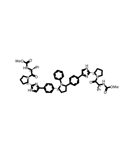 COC(=O)N[C@H](C(=O)N1CCC[C@H]1c1nc(-c2ccc(C3CC[C@H](c4ccc(-c5c[nH]c([C@@H]6CCCN6C(=O)[C@@H](NC(=O)OC)C(C)C)n5)cc4)N3c3ccccc3)cc2)c[nH]1)C(C)C